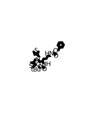 CC(C)(C)OC(=O)NC(CCCCNC(=O)OCc1ccccc1)C(=O)N(Cc1ccsc1)Cc1ccsc1